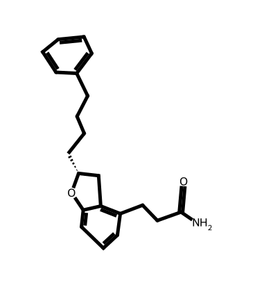 NC(=O)CCc1cccc2c1C[C@@H](CCCCc1ccccc1)O2